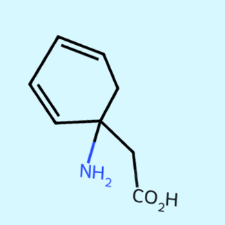 NC1(CC(=O)O)C=CC=CC1